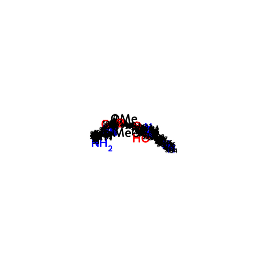 COc1cc2c(cc1OCCCCCOc1cc3c(cc1OC)C(O)N1C=C(c4ccc(N5CCN(C)CC5)cc4)C[C@H]1C=N3)N=C[C@@H]1CC(c3cccc(N)c3)=CN1C2=O